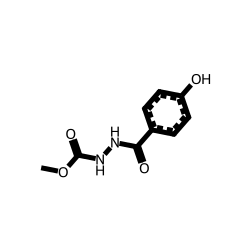 COC(=O)NNC(=O)c1ccc(O)cc1